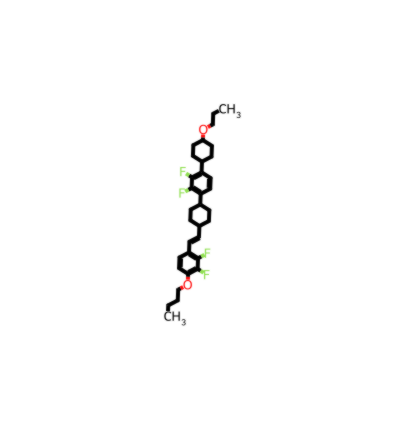 CCCCOc1ccc(/C=C/C2CCC(c3ccc(C4CCC(OCCC)CC4)c(F)c3F)CC2)c(F)c1F